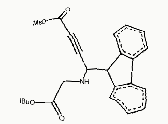 COC(=O)C#CC(NCC(=O)OCC(C)C)C1c2ccccc2-c2ccccc21